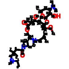 CCN(C)CC(C)(C)CC(=O)N1CC([C@@H]2COC(=O)C(C)(C)C(=O)[C@H](C)[C@@H](O[C@@H]3O[C@H](C)C[C@H](N(C)C)[C@H]3O)C(OC)C[C@@H](C)CN2C)C1